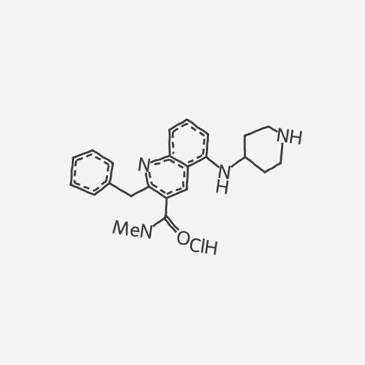 CNC(=O)c1cc2c(NC3CCNCC3)cccc2nc1Cc1ccccc1.Cl